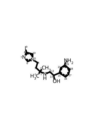 CC(C)(CCn1cnc(I)c1)NCC(O)c1cccc(N)c1